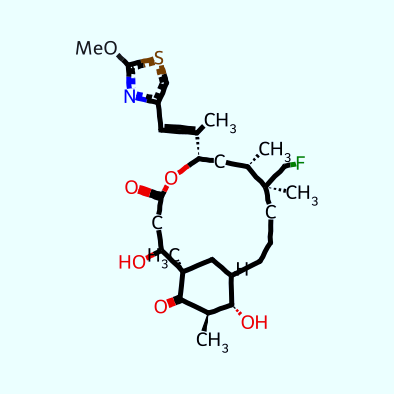 COc1nc(/C=C(\C)[C@@H]2C[C@H](C)[C@@](C)(CF)CCC[C@@H]3C[C@@](C)(C(=O)[C@H](C)[C@H]3O)C(O)CC(=O)O2)cs1